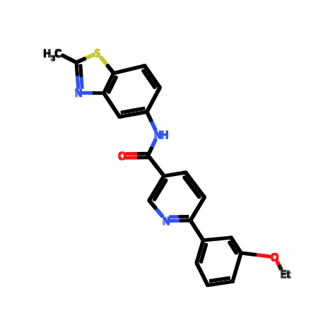 CCOc1cccc(-c2ccc(C(=O)Nc3ccc4sc(C)nc4c3)cn2)c1